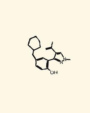 C=C(C)c1cn(C)nc1-c1cc(CC2CCCCC2)ccc1O